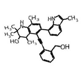 Cc1cc(-c2cccc3c(C)c[nH]c23)c(C#Cc2ccccc2CO)c2c1NC(C)(C)C(O)C2C